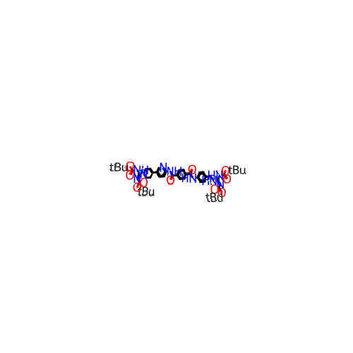 CC(C)(C)OC(=O)/N=C(/NC(=O)OC(C)(C)C)N1CC=C(c2ccc(NC(=O)c3ccc(C(=O)Nc4ccc(CN/C(=N\C(=O)OC(C)(C)C)NC(=O)OC(C)(C)C)cc4)cc3)nc2)CC1